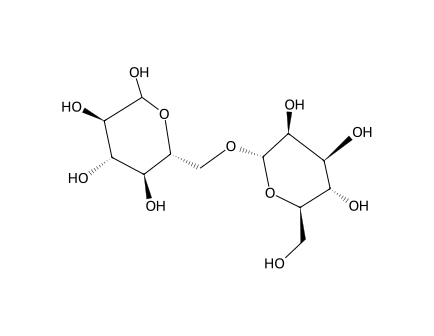 OC[C@H]1O[C@H](OC[C@H]2OC(O)[C@H](O)[C@@H](O)[C@@H]2O)[C@@H](O)[C@@H](O)[C@@H]1O